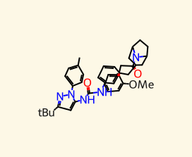 COc1ccccc1CC(=O)N1C2CCC1CC(Cc1cccc(NC(=O)Nc3cc(C(C)(C)C)nn3-c3ccc(C)cc3)c1)C2